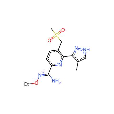 CCO/N=C(\N)c1ccc(CS(C)(=O)=O)c(-c2n[nH]cc2C)n1